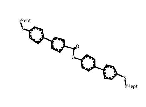 CCCCCCCSc1ccc(-c2ccc(OC(=O)c3ccc(-c4ccc(SCCCCC)cc4)cc3)cc2)cc1